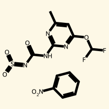 Cc1cc(OC(F)F)nc(NC(=O)N=S(=O)=O)n1.O=[N+]([O-])c1ccccc1